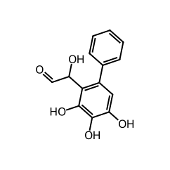 O=CC(O)c1c(-c2ccccc2)cc(O)c(O)c1O